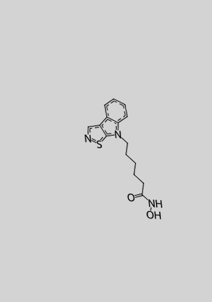 O=C(CCCCCn1c2ccccc2c2cnsc21)NO